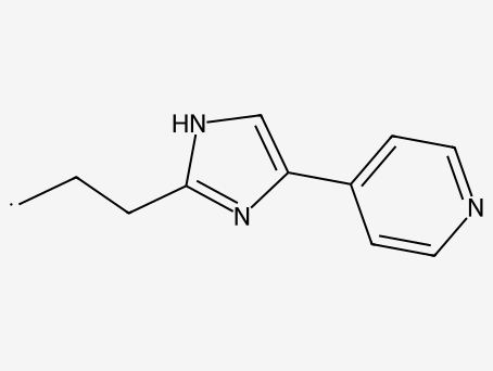 [CH2]CCc1nc(-c2ccncc2)c[nH]1